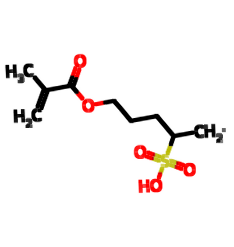 [CH2]C(CCCOC(=O)C(=C)C)S(=O)(=O)O